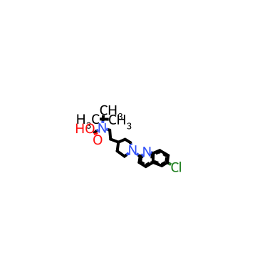 CC(C)(C)N(CCC1CCN(c2ccc3cc(Cl)ccc3n2)CC1)C(=O)O